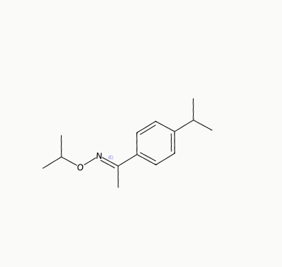 C/C(=N\OC(C)C)c1ccc(C(C)C)cc1